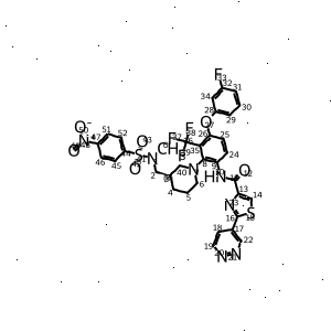 CN(C[C@@H]1CCCN(c2c(NC(=O)c3csc(-c4ccnnc4)n3)ccc(Oc3cccc(F)c3)c2C(F)(F)F)C1)S(=O)(=O)c1ccc([N+](=O)[O-])cc1